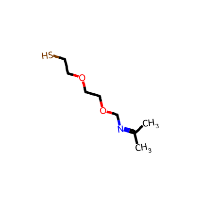 CC(C)=NCOCCOCCS